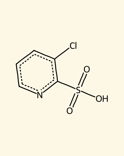 O=S(=O)(O)c1ncccc1Cl